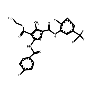 CCOC(=O)c1c(NC(=O)c2ccc(Cl)cc2)sc(C(=O)Nc2cc(C(F)(F)F)ccc2Cl)c1C